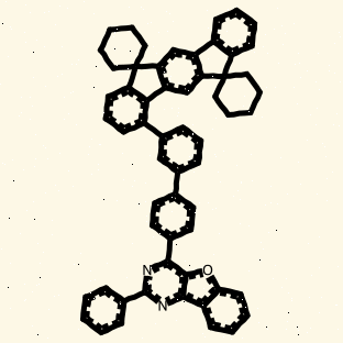 c1ccc(-c2nc(-c3ccc(-c4cccc(-c5cccc6c5-c5cc7c(cc5C65CCCCC5)-c5ccccc5C75CCCCC5)c4)cc3)c3oc4ccccc4c3n2)cc1